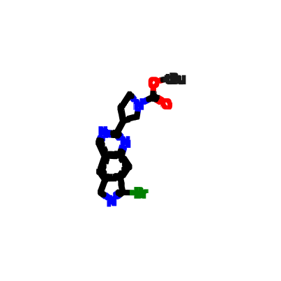 CC(C)(C)OC(=O)N1CCC(c2ncc3cc4c(cc3n2)C(Br)=NC4)C1